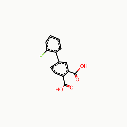 O=C(O)c1ccc(-c2ccccc2F)cc1C(=O)O